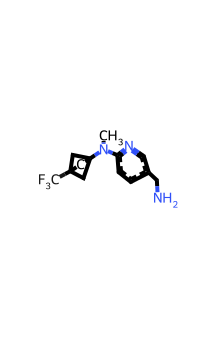 CN(c1ccc(CN)cn1)C12CC(C(F)(F)F)(C1)C2